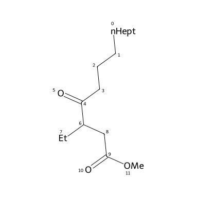 CCCCCCCCCCC(=O)C(CC)CC(=O)OC